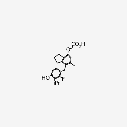 Cc1cc(OCC(=O)O)c2c(c1Cc1ccc(O)c(C(C)C)c1F)CCC2